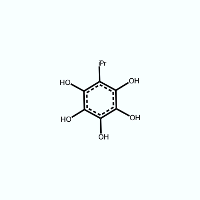 CC(C)c1c(O)c(O)c(O)c(O)c1O